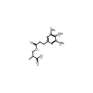 CC(COC(=O)CCc1cc(C(C)(C)C)c(O)c(C(C)(C)C)c1)C(=O)Cl